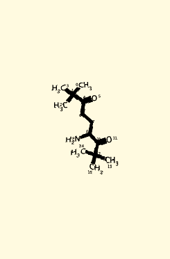 CC(C)(C)C(=O)CCC(N)C(=O)C(C)(C)C